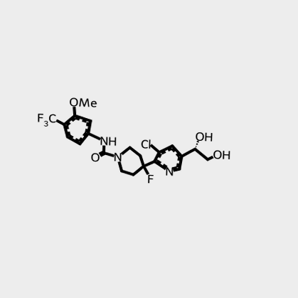 COc1cc(NC(=O)N2CCC(F)(c3ncc([C@H](O)CO)cc3Cl)CC2)ccc1C(F)(F)F